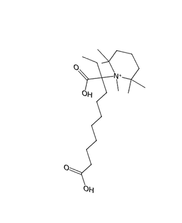 CCC(CCCCCCCC(=O)O)(C(=O)O)[N+]1(C)C(C)(C)CCCC1(C)C